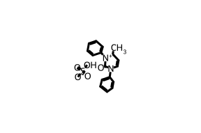 Cc1ccn(-c2ccccc2)c(=O)[n+]1-c1ccccc1.O=S(=O)([O-])O